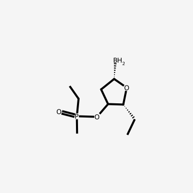 B[C@H]1CC(OP(C)(=O)CC)[C@@H](CC)O1